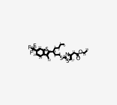 CCCCC(CCSc1nc(CC(=O)OCC)cs1)c1sc2cc(C(F)(F)F)ccc2c1C